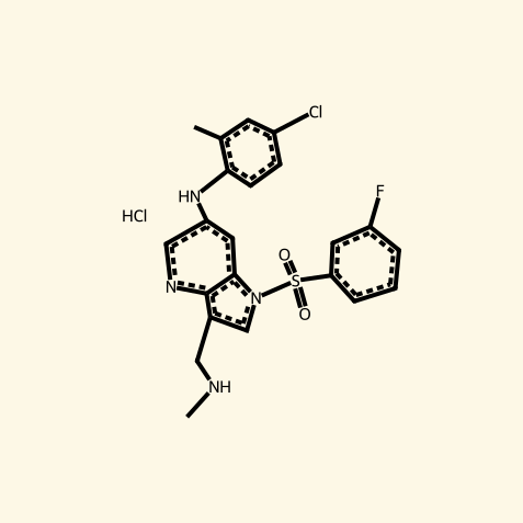 CNCc1cn(S(=O)(=O)c2cccc(F)c2)c2cc(Nc3ccc(Cl)cc3C)cnc12.Cl